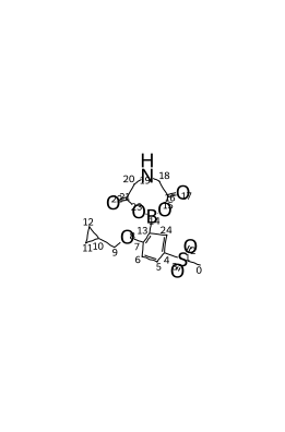 CS(=O)(=O)c1ccc(OCC2CC2)c(B2OC(=O)CNCC(=O)O2)c1